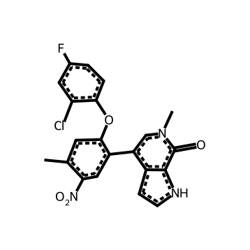 Cc1cc(Oc2ccc(F)cc2Cl)c(-c2cn(C)c(=O)c3[nH]ccc23)cc1[N+](=O)[O-]